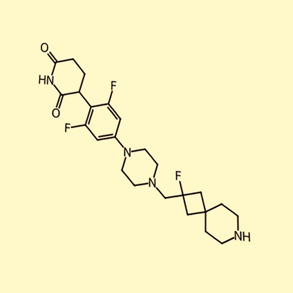 O=C1CCC(c2c(F)cc(N3CCN(CC4(F)CC5(CCNCC5)C4)CC3)cc2F)C(=O)N1